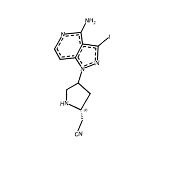 N#CC[C@H]1CC(n2nc(I)c3c(N)nccc32)CN1